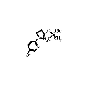 CC(C)(C)[Si](C)(C)O[C@H]1CCN(c2ccc(Br)cn2)C1